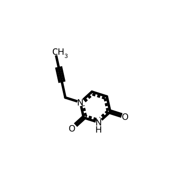 CC#CCn1ccc(=O)[nH]c1=O